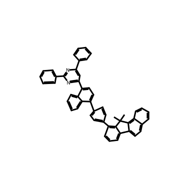 CC1(C)c2c(-c3ccc(-c4ccc(-c5cc(-c6ccccc6)nc(-c6ccccc6)n5)c5ccccc45)cc3)cccc2-c2ccc3ccccc3c21